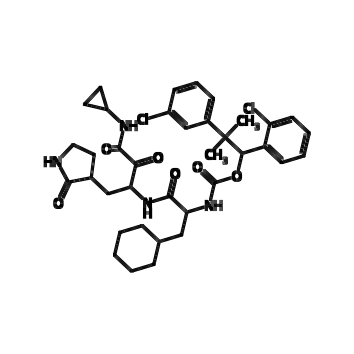 CC(C)(c1cccc(Cl)c1)C(OC(=O)NC(CC1CCCCC1)C(=O)NC(CC1CCNC1=O)C(=O)C(=O)NC1CC1)c1ccccc1Cl